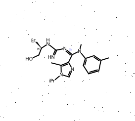 CC[C@H](CO)NC(=N)/N=C(\c1ncn(C(C)C)c1C)N(C)c1cccc(C)c1